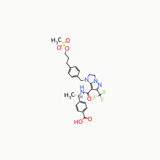 C[C@H](NC(=O)c1c(C(F)(F)F)nn2c1N(Cc1ccc(CCCOS(C)(=O)=O)cc1)CC2)c1ccc(C(=O)O)cc1